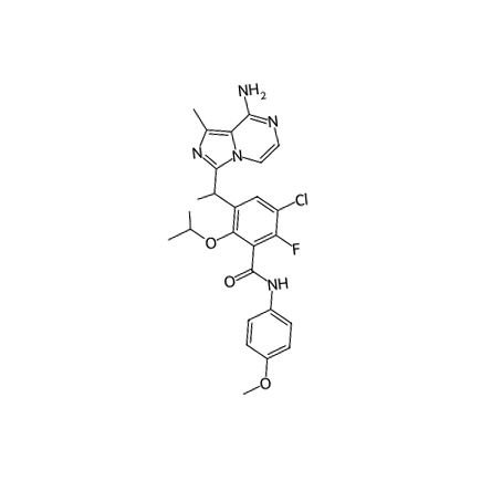 COc1ccc(NC(=O)c2c(F)c(Cl)cc(C(C)c3nc(C)c4c(N)nccn34)c2OC(C)C)cc1